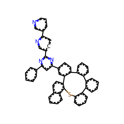 c1ccc(-c2cc(-c3ccc4c(c3)-c3ccc5ccccc5c3Sc3ccccc3-c3ccccc3-c3ccccc3-4)nc(-c3ccc(-c4cccnc4)nc3)n2)cc1